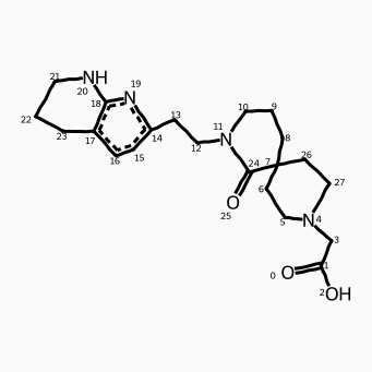 O=C(O)CN1CCC2(CCCN(CCc3ccc4c(n3)NCCC4)C2=O)CC1